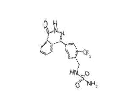 NS(=O)(=O)NCc1ccc(-c2n[nH]c(=O)c3ccccc23)cc1C(F)(F)F